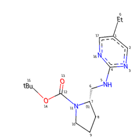 CCc1cnc(NC[C@@H]2CCCN2C(=O)OC(C)(C)C)nc1